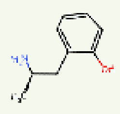 C[C@@H](N)Cc1ccccc1O